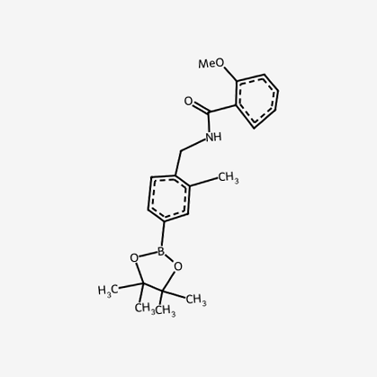 COc1ccccc1C(=O)NCc1ccc(B2OC(C)(C)C(C)(C)O2)cc1C